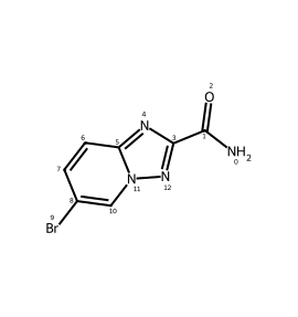 NC(=O)c1nc2ccc(Br)cn2n1